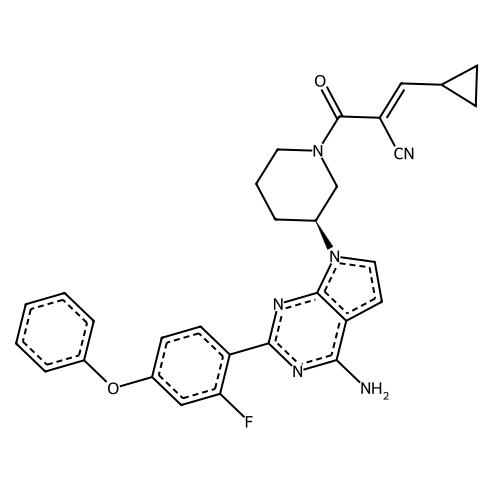 N#C/C(=C\C1CC1)C(=O)N1CCC[C@H](n2ccc3c(N)nc(-c4ccc(Oc5ccccc5)cc4F)nc32)C1